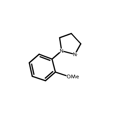 COc1ccccc1N1CCC[N]1